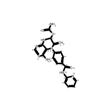 C=C1C(OC(N)=O)Nc2ncnc(N)c2N1c1ccc(C(=O)Nc2ccccn2)cc1